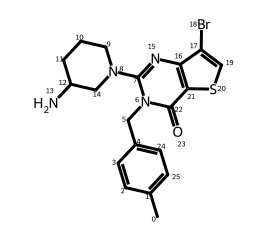 Cc1ccc(Cn2c(N3CCCC(N)C3)nc3c(Br)csc3c2=O)cc1